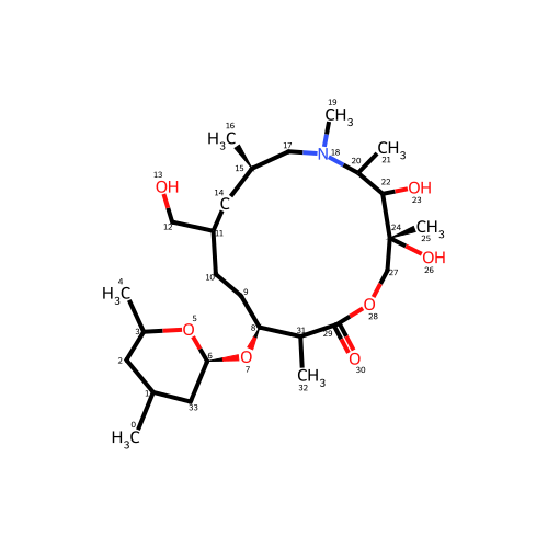 CC1CC(C)O[C@@H](O[C@H]2CCC(CO)C[C@@H](C)CN(C)C(C)C(O)[C@](C)(O)COC(=O)C2C)C1